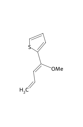 C=C/C=C(\OC)c1cccs1